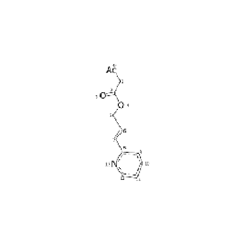 CC(=O)CC(=O)OC/C=C/c1ccccn1